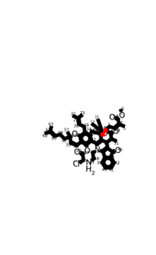 COC(=O)/C(C)=C\CC12OC(C)(C)C(C)C13Oc1c(CC=C(C)C)c4c(c(OC(=O)CCl)c1C1=C3C(C3=C(c5ccccc5C3=O)N1CCN)C(C)C2=O)C=CC(C)(CCC=C(C)C)O4